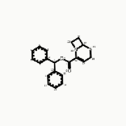 O=C(OC(c1ccccc1)c1ccccc1)C1=CCSC2CCN12